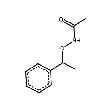 CC(=O)NOC(C)c1ccccc1